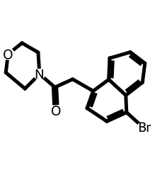 O=C(Cc1ccc(Br)c2ccccc12)N1CCOCC1